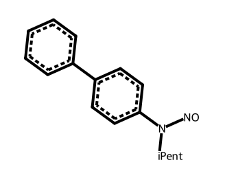 CCCC(C)N(N=O)c1ccc(-c2ccccc2)cc1